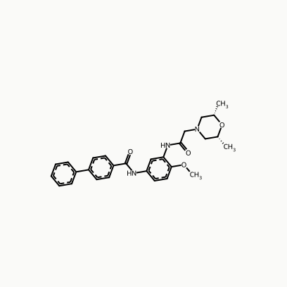 COc1ccc(NC(=O)c2ccc(-c3ccccc3)cc2)cc1NC(=O)CN1C[C@@H](C)O[C@@H](C)C1